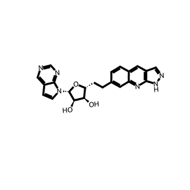 O[C@@H]1[C@H](O)[C@@H](CCc2ccc3cc4cn[nH]c4nc3c2)O[C@H]1n1ccc2cncnc21